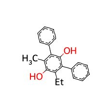 CCc1c(O)c(C)c(-c2ccccc2)c(O)c1-c1ccccc1